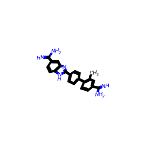 Cc1cc(C(=N)N)ccc1-c1ccc(-c2nc3cc(C(=N)N)ccc3[nH]2)cc1